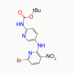 CC(C)(C)OC(=O)Nc1ccc(Nc2nc(Br)ccc2[N+](=O)[O-])cn1